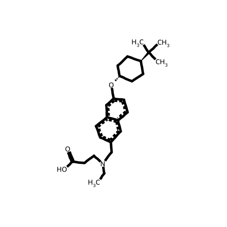 CCN(CCC(=O)O)Cc1ccc2cc(O[C@H]3CC[C@H](C(C)(C)C)CC3)ccc2c1